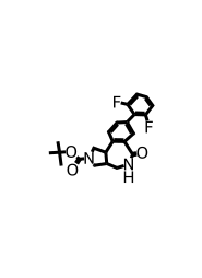 CC(C)(C)OC(=O)N1CC2CNC(=O)c3cc(-c4c(F)cccc4F)ccc3C2C1